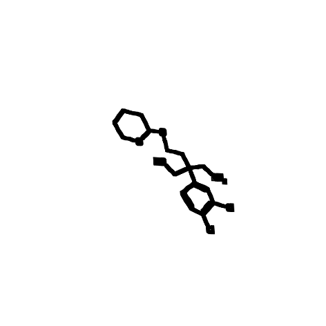 NCC(CO)(CCOC1CCCCO1)c1ccc(Cl)c(Cl)c1